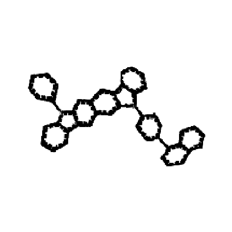 c1ccc(-n2c3ccccc3c3cc4cc5c(cc4cc32)c2ccccc2n5-c2ccc(-c3cccc4ccccc34)cc2)cc1